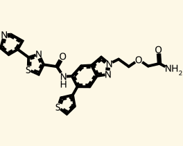 NC(=O)COCCn1cc2cc(NC(=O)c3csc(-c4ccncc4)n3)c(-c3ccsc3)cc2n1